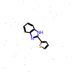 [c]1cccc2[nH]c(-c3cccs3)nc12